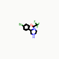 O=C(N1CCNCC1c1ccc(Br)cc1)C(F)(F)F